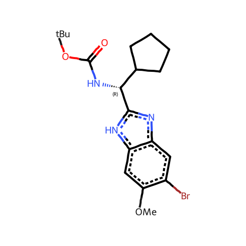 COc1cc2[nH]c([C@H](NC(=O)OC(C)(C)C)C3CCCC3)nc2cc1Br